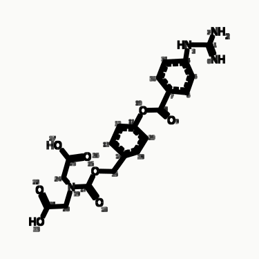 N=C(N)Nc1ccc(C(=O)Oc2ccc(COC(=O)N(CC(=O)O)CC(=O)O)cc2)cc1